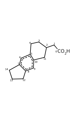 O=C(O)CC1CCc2cc3c(cc2C1)CCC3